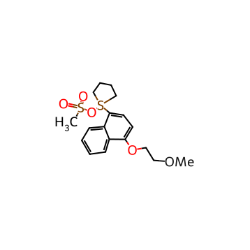 COCCOc1ccc(S2(OS(C)(=O)=O)CCCC2)c2ccccc12